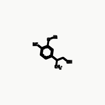 [CH2]C(CO)c1ccc(C#N)c(OCC)c1